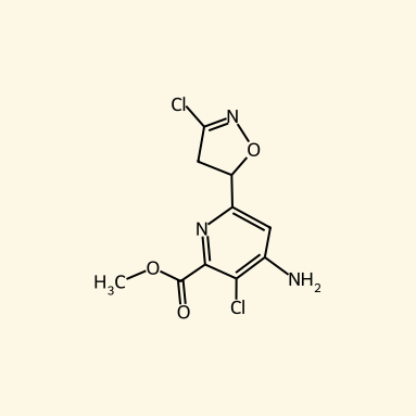 COC(=O)c1nc(C2CC(Cl)=NO2)cc(N)c1Cl